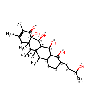 CC(=O)C1=C(C)CC2(C)C(C)C3(C)C(C)C4CCC(CCC(C)O)C(O)C4C(O)C3C(O)C2(O)C1=O